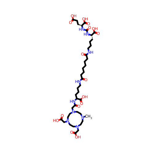 CN1CCN(CC(=O)O)CCN(CC(=O)O)CCN(CC(=O)NC(CCCCNC(=O)CCCCCCC(=O)NCCCC[C@H](NC(=O)N[C@@H](CCC(=O)O)C(=O)O)C(=O)O)C(=O)O)CC1